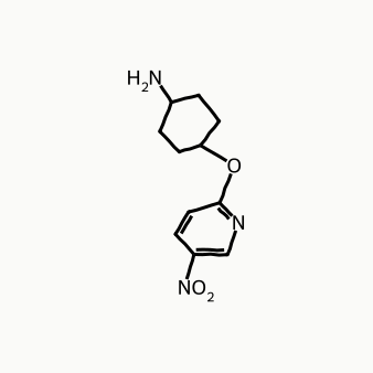 NC1CCC(Oc2ccc([N+](=O)[O-])cn2)CC1